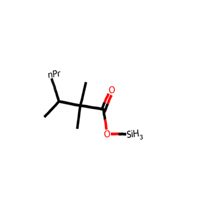 CCCC(C)C(C)(C)C(=O)O[SiH3]